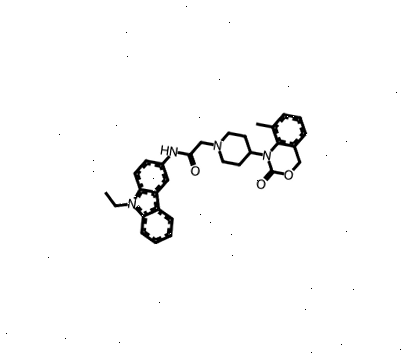 CCn1c2ccccc2c2cc(NC(=O)CN3CCC(N4C(=O)OCc5cccc(C)c54)CC3)ccc21